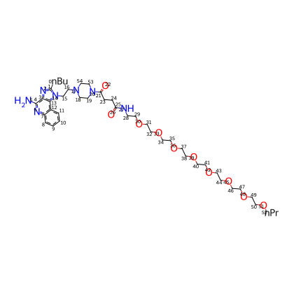 CCCCc1nc2c(N)nc3ccccc3c2n1CCN1CCN(C(=O)CCC(=O)NCCOCCOCCOCCOCCOCCOCCOCCOCCC)CC1